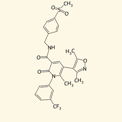 Cc1noc(C)c1-c1cc(C(=O)NCc2ccc(S(C)(=O)=O)cc2)c(=O)n(-c2cccc(C(F)(F)F)c2)c1C